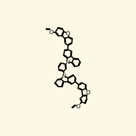 C=COc1ccc2oc3ccc(-c4ccc5c(c4)c4ccccc4n5-c4cccc(-n5c6ccccc6c6cc(-c7ccc8oc9ccc(OC=C)cc9c8c7)ccc65)c4)cc3c2c1